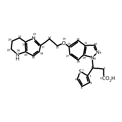 O=C(O)CC(c1cccs1)n1ncc2cc(OCCc3ccc4c(n3)CCCN4)ccc21